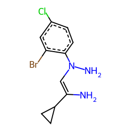 N/C(=C\N(N)c1ccc(Cl)cc1Br)C1CC1